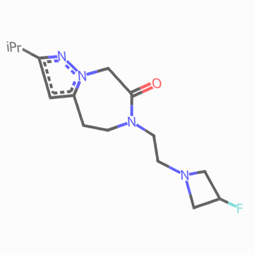 CC(C)c1cc2n(n1)CC(=O)N(CCN1CC(F)C1)CC2